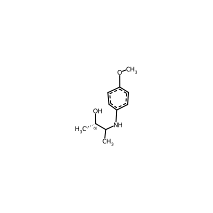 COc1ccc(NC(C)[C@H](C)O)cc1